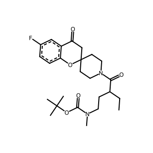 CCC(CCN(C)C(=O)OC(C)(C)C)C(=O)N1CCC2(CC1)CC(=O)c1cc(F)ccc1O2